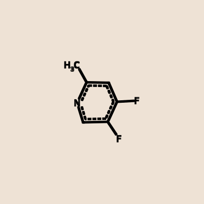 Cc1cc(F)c(F)cn1